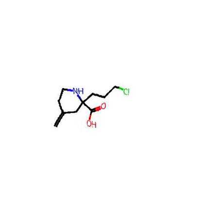 C=C1CCNC(CCCCl)(C(=O)O)C1